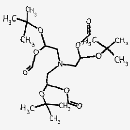 CC(C)(C)OC(CN(CC(OC=O)OC(C)(C)C)CC(OC=O)OC(C)(C)C)OC=O